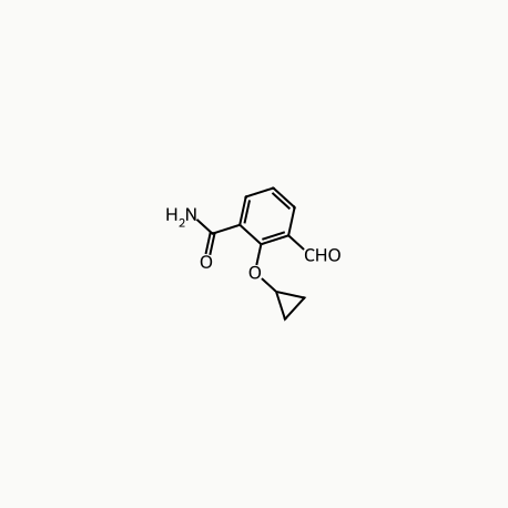 NC(=O)c1cccc(C=O)c1OC1CC1